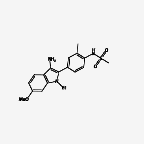 CCn1c(-c2ccc(NS(C)(=O)=O)c(C)c2)c(N)c2ccc(OC)cc21